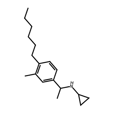 CCCCCCc1ccc(C(C)NC2CC2)cc1C